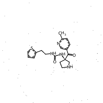 Cc1ccc(C(=O)[C@@]2(NC(=O)NCCc3cccs3)CCNC2)cn1